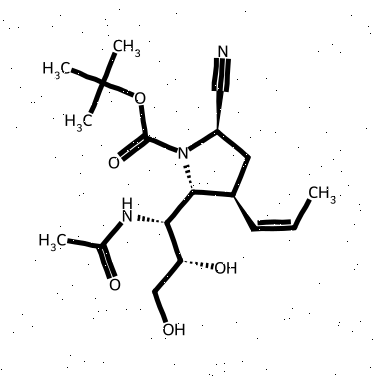 C/C=C\[C@@H]1C[C@H](C#N)N(C(=O)OC(C)(C)C)[C@H]1[C@@H](NC(C)=O)[C@H](O)CO